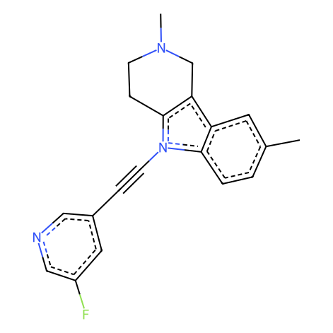 Cc1ccc2c(c1)c1c(n2C#Cc2cncc(F)c2)CCN(C)C1